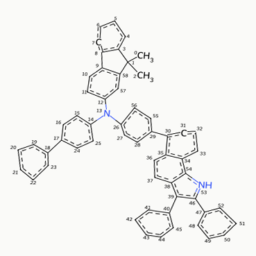 CC1(C)c2ccccc2-c2ccc(N(c3ccc(-c4ccccc4)cc3)c3ccc(-c4cccc5c4ccc4c(-c6ccccc6)c(-c6ccccc6)[nH]c45)cc3)cc21